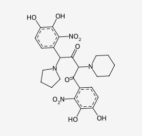 O=C(c1ccc(O)c(O)c1[N+](=O)[O-])C(C(=O)C(c1ccc(O)c(O)c1[N+](=O)[O-])N1CCCC1)N1CCCCC1